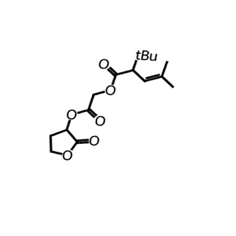 CC(C)=CC(C(=O)OCC(=O)OC1CCOC1=O)C(C)(C)C